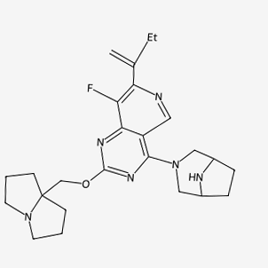 C=C(CC)c1ncc2c(N3CC4CCC(C3)N4)nc(OCC34CCCN3CCC4)nc2c1F